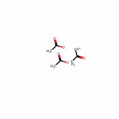 CC(=O)[O-].CC(=O)[O-].C[C](=O)[Ce+2]